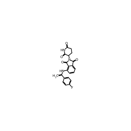 C=C(Nc1cccc2c1C(=O)N(C1CCC(=O)NC1=O)C2=O)c1ccc(F)cc1